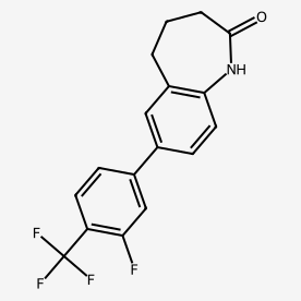 O=C1CCCc2cc(-c3ccc(C(F)(F)F)c(F)c3)ccc2N1